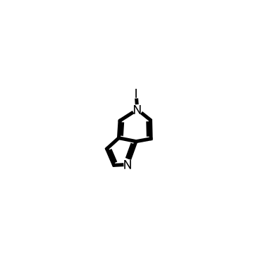 In1ccc2nccc-2c1